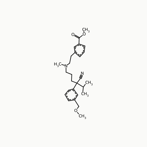 COCc1cccc(C(C#N)(CCCN(C)CCc2cccc(C(=O)OC)c2)C(C)C)c1